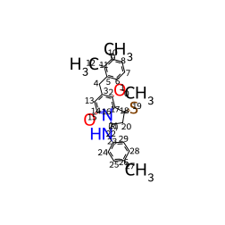 COc1c(Cc2cccc(C)c2C)cc(=O)n2c1C(=S)C[C@@H]2Nc1ccc(C)cc1